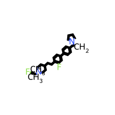 C=C(c1ccc(-c2ccc(CCC3CCN(CC(C)(C)F)CC3)c(F)c2)cc1)N1CCCC1